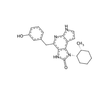 C[C@@H]1CCCC[C@@H]1n1c(=O)[nH]c2c(Cc3cccc(O)c3)nc3[nH]ccc3c21